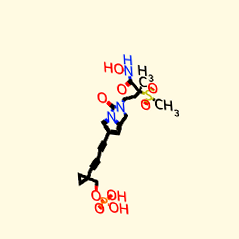 C[C@@](CCN1Cc2cc(C#CC#CC3(COP(=O)(O)O)CC3)cn2C1=O)(C(=O)NO)S(C)(=O)=O